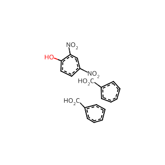 O=C(O)c1ccccc1.O=C(O)c1ccccc1.O=[N+]([O-])c1ccc(O)c([N+](=O)[O-])c1